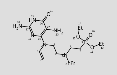 C=CN(CCN(CCC)CCP(=O)(OCC)OCC)c1nc(N)[nH]c(=O)c1N